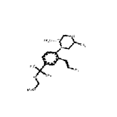 CC=Cc1cc(C(OCOC)(C(F)(F)F)C(F)(F)F)ccc1N1CC(C)NC[C@H]1C